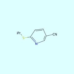 CC(C)Sc1ccc(C#N)cn1